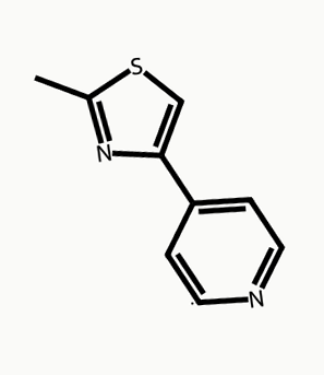 Cc1nc(-c2c[c]ncc2)cs1